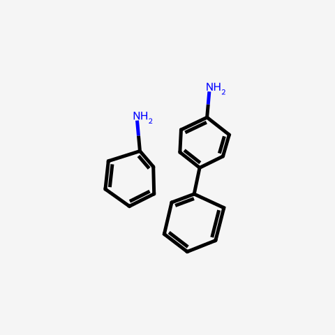 Nc1ccc(-c2ccccc2)cc1.Nc1ccccc1